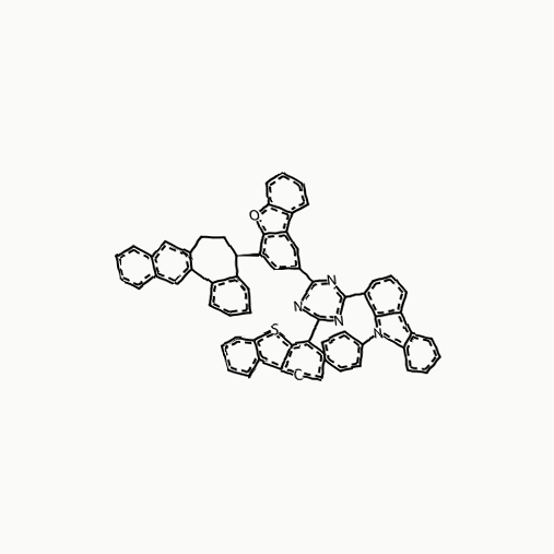 c1ccc(-n2c3ccccc3c3cccc(-c4nc(-c5cc([C@@H]6CCc7cc8ccccc8cc7-c7ccccc76)c6oc7ccccc7c6c5)nc(-c5cccc6c5sc5ccccc56)n4)c32)cc1